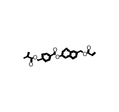 C=CC(=O)OCc1ccc2cc(OC(=O)c3ccc(COC(=O)C(=C)C)cc3)ccc2c1